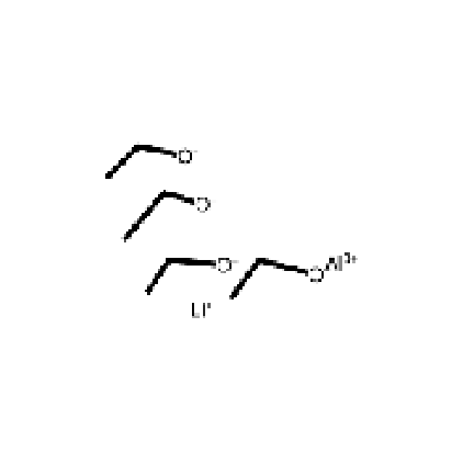 CC[O-].CC[O-].CC[O-].CC[O-].[Al+3].[Li+]